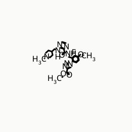 CCOC(=O)c1cn(-c2ccc(OC)c(F)c2CNC(=O)c2nccnc2NCC2CCN(C)CC2)nn1